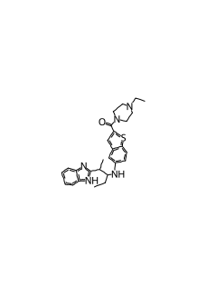 CCC(Nc1ccc2sc(C(=O)N3CCN(CC)CC3)cc2c1)C(C)c1nc2ccccc2[nH]1